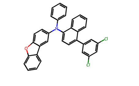 Clc1cc(Cl)cc(-c2ccc(N(c3ccccc3)c3ccc4oc5ccccc5c4c3)c3ccccc23)c1